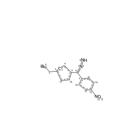 CCC(C)Cc1ccc(C(=[N+]=N)c2ccc([N+](=O)[O-])cc2)cc1